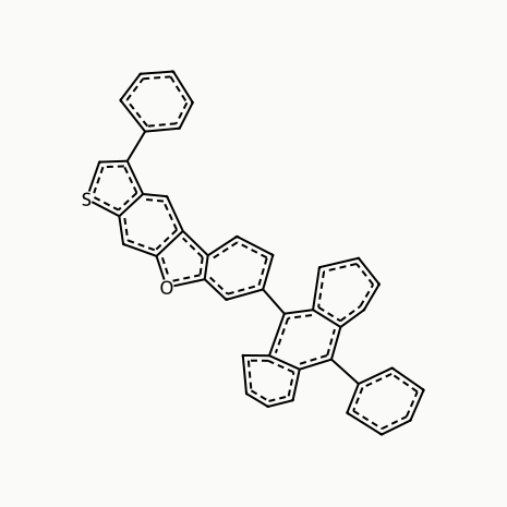 c1ccc(-c2csc3cc4oc5cc(-c6c7ccccc7c(-c7ccccc7)c7ccccc67)ccc5c4cc23)cc1